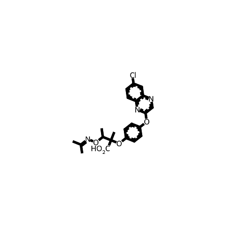 CC(C)=NOC(C)C(C)(Oc1ccc(Oc2cnc3cc(Cl)ccc3n2)cc1)C(=O)O